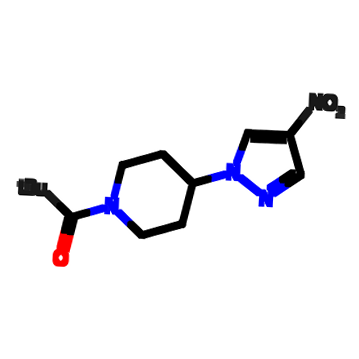 CC(C)(C)C(=O)N1CCC(n2cc([N+](=O)[O-])cn2)CC1